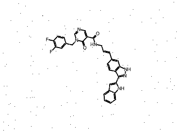 O=C(NC/C=C/c1ccc2c(-c3cc4ccccc4[nH]3)n[nH]c2c1)c1cncn(Cc2ccc(F)c(F)c2)c1=O